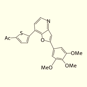 COc1cc(-c2cc3nccc(-c4ccc(C(C)=O)s4)c3o2)cc(OC)c1OC